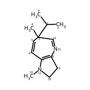 CC(C)C1(C)C=CC2=C(CCN2C)N=C1